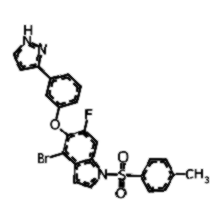 Cc1ccc(S(=O)(=O)n2ccc3c(Br)c(Oc4cccc(-c5cc[nH]n5)c4)c(F)cc32)cc1